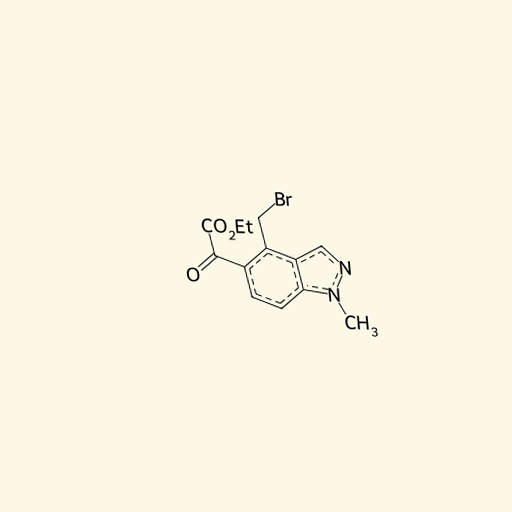 CCOC(=O)C(=O)c1ccc2c(cnn2C)c1CBr